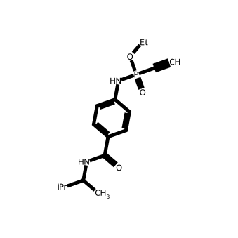 C#CP(=O)(Nc1ccc(C(=O)NC(C)C(C)C)cc1)OCC